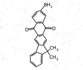 Bc1ccc2c(c1)C(=O)c1cc3c(cc1C2=O)-c1ccccc1C3(C)C